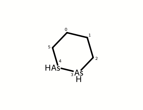 C1CC[AsH][AsH]C1